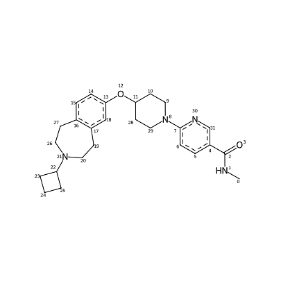 CNC(=O)c1ccc(N2CCC(Oc3ccc4c(c3)CCN(C3CCC3)CC4)CC2)nc1